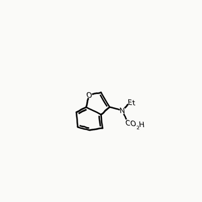 CCN(C(=O)O)c1coc2ccccc12